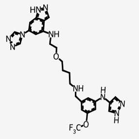 FC(F)(F)Oc1cc(CNCCCCOCCNc2cc(-n3cnnc3)cc3[nH]ncc23)cc(Nc2cn[nH]c2)c1